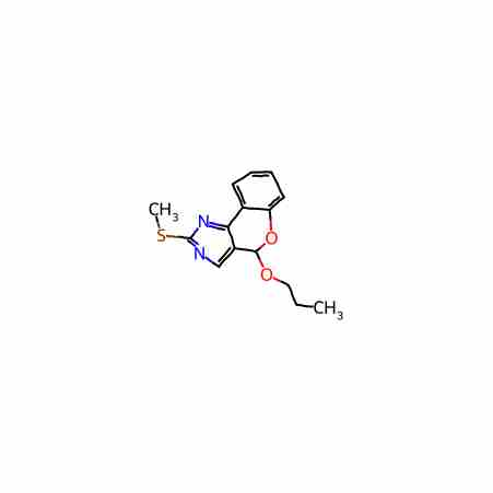 CCCOC1Oc2ccccc2-c2nc(SC)ncc21